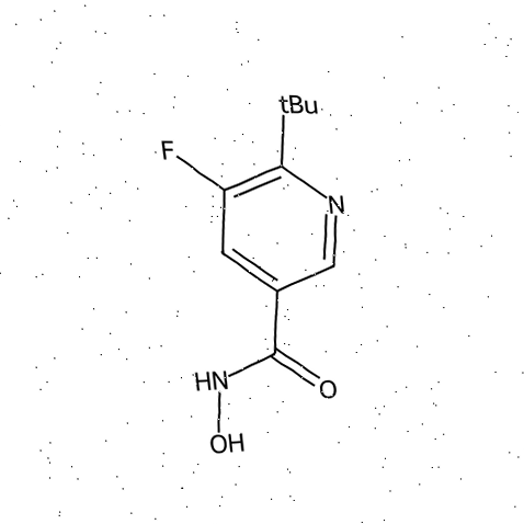 CC(C)(C)c1ncc(C(=O)NO)cc1F